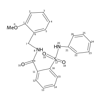 COc1ccccc1CNC(=O)c1ccccc1S(=O)(=O)Nc1ccccc1